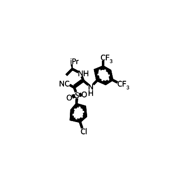 CC(C)[C@H](C)NC(Nc1cc(C(F)(F)F)cc(C(F)(F)F)c1)=C(C#N)S(=O)(=O)c1ccc(Cl)cc1